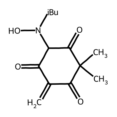 C=C1C(=O)C(N(O)C(C)CC)C(=O)C(C)(C)C1=O